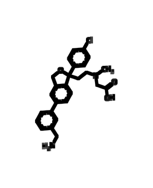 CN(CCC1(c2ccc(Cl)cc2)OCc2cc(-c3cccc(CN)c3)ccc21)CC(=O)O